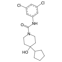 O=C(Nc1cc(Cl)cc(Cl)c1)N1CCC(O)(C2CCCC2)CC1